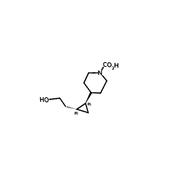 O=C(O)N1CCC([C@H]2C[C@@H]2CCO)CC1